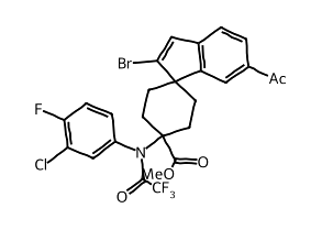 COC(=O)C1(N(C(=O)C(F)(F)F)c2ccc(F)c(Cl)c2)CCC2(CC1)C(Br)=Cc1ccc(C(C)=O)cc12